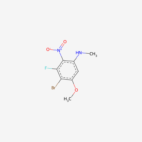 CNc1cc(OC)c(Br)c(F)c1[N+](=O)[O-]